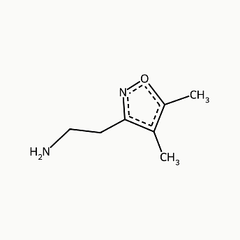 Cc1onc(CCN)c1C